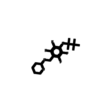 CC(C)(C)[Si](C)(C)Oc1c(F)c(F)c(COC2CCCCO2)c(F)c1F